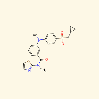 CC(=O)N(c1ccc(S(=O)(=O)CC2CC2)cc1)c1cccc(C(=O)N(C)c2nccs2)c1